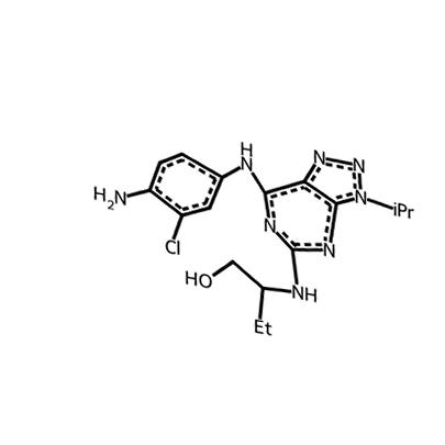 CCC(CO)Nc1nc(Nc2ccc(N)c(Cl)c2)c2nnn(C(C)C)c2n1